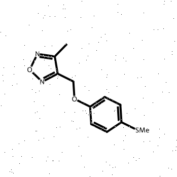 CSc1ccc(OCc2nonc2C)cc1